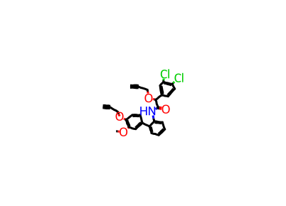 C#CCOc1ccc(-c2ccccc2NC(=O)C(OCC#C)c2ccc(Cl)c(Cl)c2)cc1OC